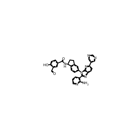 Nc1ncccc1-c1nc2ccc(-c3cncnc3)nc2n1-c1ccc2c(c1)CC[C@@H]2NC(=O)c1ccc(O)c(C=O)c1